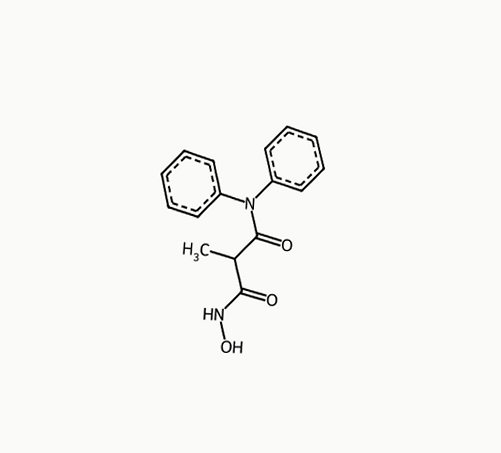 CC(C(=O)NO)C(=O)N(c1ccccc1)c1ccccc1